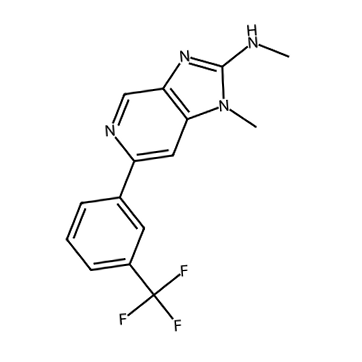 CNc1nc2cnc(-c3cccc(C(F)(F)F)c3)cc2n1C